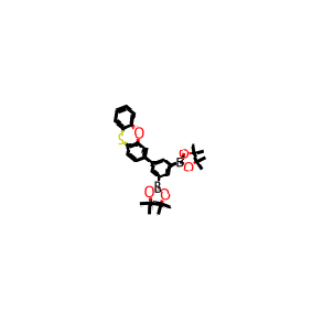 CC1(C)OB(c2cc(B3OC(C)(C)C(C)(C)O3)cc(-c3ccc4c(c3)Oc3ccccc3S4)c2)OC1(C)C